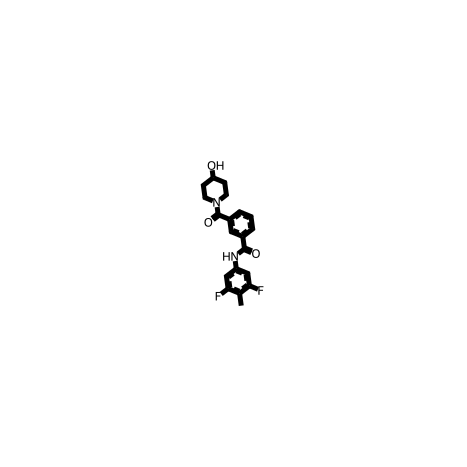 Cc1c(F)cc(NC(=O)c2cccc(C(=O)N3CCC(O)CC3)c2)cc1F